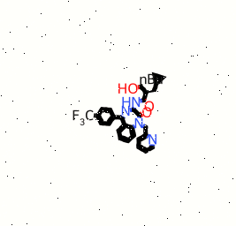 CCCC[C@H](O)[C@@H](CC1CC1)C(=O)NC1N=C(c2ccc(C(F)(F)F)cc2)c2ccccc2N(Cc2ccccn2)C1=O